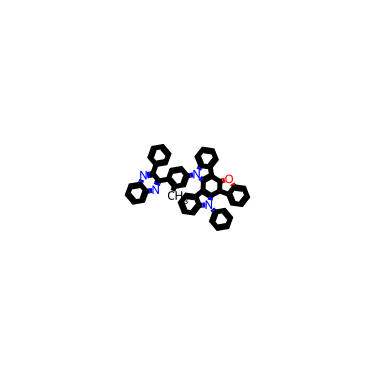 Cc1cc(-n2c3c(c4ccccc42)C2Oc4ccccc4C2c2c-3c3ccccc3n2-c2ccccc2)ccc1-c1nc2ccccc2nc1-c1ccccc1